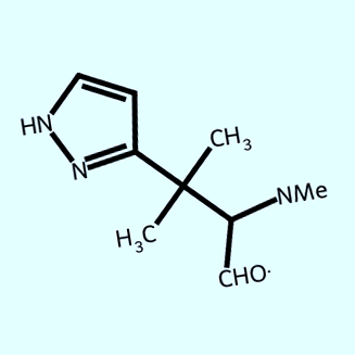 CNC([C]=O)C(C)(C)c1cc[nH]n1